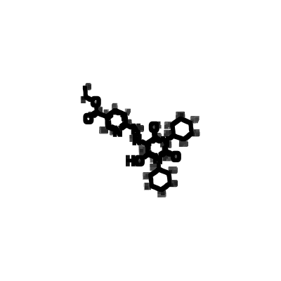 CCOC(=O)c1ccc(N=Nc2c(O)n(C3CCCCC3)c(=O)n(C3CCCCC3)c2=O)nc1